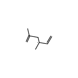 C=C[C](C)CC(=C)C